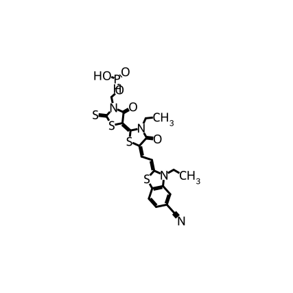 CCN1/C(=C/C=c2/s/c(=C3\SC(=S)N(CO[PH](=O)O)C3=O)n(CC)c2=O)Sc2ccc(C#N)cc21